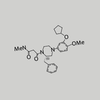 CNC(=O)CC(=O)N1CCN(c2ccc(OC)c(OC3CCCC3)c2)C[C@@H]1Cc1ccccc1